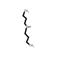 CCC[CH2][SbH][CH2]CCC